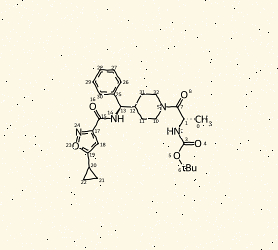 C[C@H](NC(=O)OC(C)(C)C)C(=O)N1CCC([C@@H](NC(=O)c2cc(C3CC3)on2)c2ccccc2)CC1